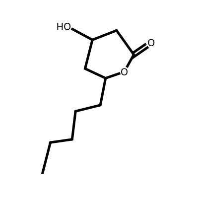 CCCCCC1CC(O)CC(=O)O1